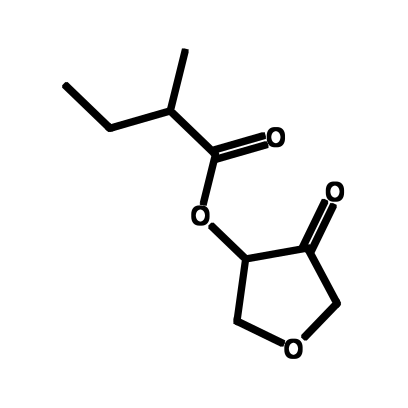 CCC(C)C(=O)OC1COCC1=O